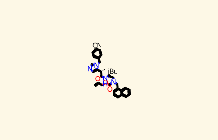 C=CCOC(=O)N(Cc1cccc2ccccc12)CC(NC(=O)[C@@H](C)c1cncn1Cc1ccc(C#N)cc1)C(C)CC